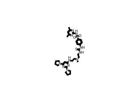 Cc1cc(C)nc(NS(=O)(=O)c2ccc(NC(=S)NCCN(C)CCNc3cc(N4CCCC4)nc(N4CCCC4)n3)cc2)n1